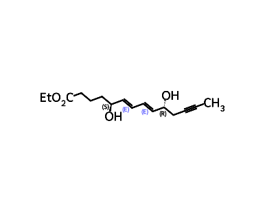 CC#CC[C@@H](O)/C=C/C=C/[C@@H](O)CCCC(=O)OCC